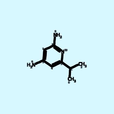 CC(C)c1cc(N)cc(N)n1